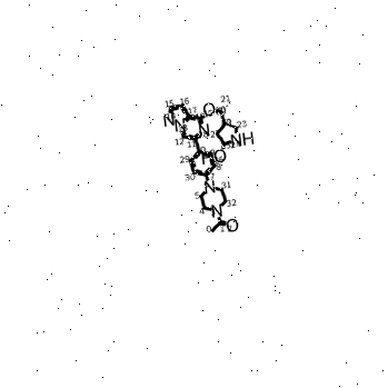 CC(=O)N1CCN(c2ccc(-c3cn4nccc4c(O[C@H](C)[C@H]4CNC(O)C4)n3)cc2)CC1